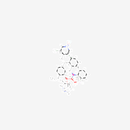 COc1ccc([C@@H](Cc2c(Cl)c[n+]([O-])cc2Cl)c2c(CN(C(=O)O[C@H]3CN4CCC3CC4)c3ccccc3F)cccc2C(=O)O)cc1OC1CCCC1